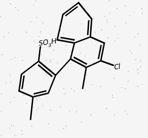 Cc1ccc(S(=O)(=O)O)c(-c2c(C)c(Cl)cc3ccccc23)c1